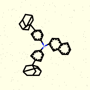 c1ccc2cc(N(c3ccc(C45CC6CC(CC(C6)C4)C5)cc3)c3ccc(C45CC6CC(CC(C6)C4)C5)cc3)ccc2c1